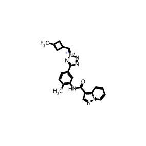 Cc1ccc(C2=N/[N+](=C\C3CC(C(F)(F)F)C3)N=N2)cc1NC(=O)c1cnn2ccccc12